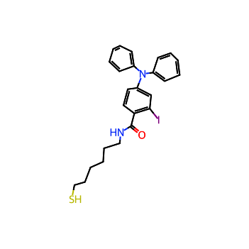 O=C(NCCCCCCS)c1ccc(N(c2ccccc2)c2ccccc2)cc1I